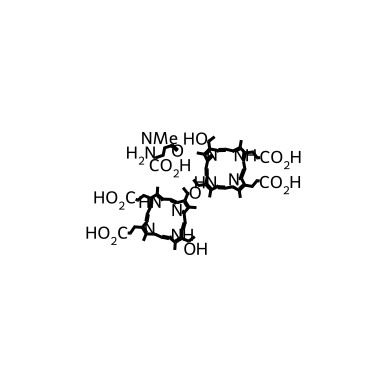 CC1=C(CCC(=O)O)c2cc3[nH]c(cc4nc(cc5[nH]c(cc1n2)c(C)c5C(C)OC(C)C1=C(C)c2cc5[nH]c(cc6nc(cc7[nH]c(cc1n2)c(C)c7CCC(=O)O)C(CCC(=O)O)=C6C)c(C)c5C(C)O)C(C)=C4C(C)O)c(C)c3CCC(=O)O.CNC(=O)CCC(N)C(=O)O